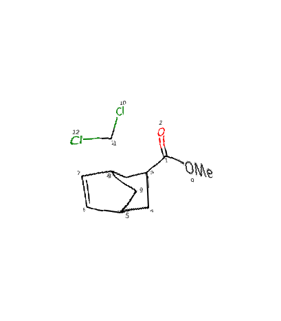 COC(=O)C1CC2C=CC1C2.ClCCl